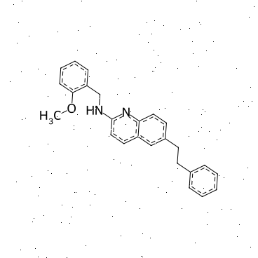 COc1ccccc1CNc1ccc2cc(CCc3ccccc3)ccc2n1